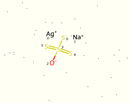 [Ag+].[Na+].[O-]S(=S)(=S)[S-]